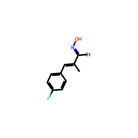 CCC(=NO)/C(C)=C/c1ccc(F)cc1